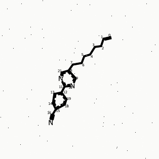 C=CCCCCCCc1cnc(-c2ccc(C#N)cc2)nc1